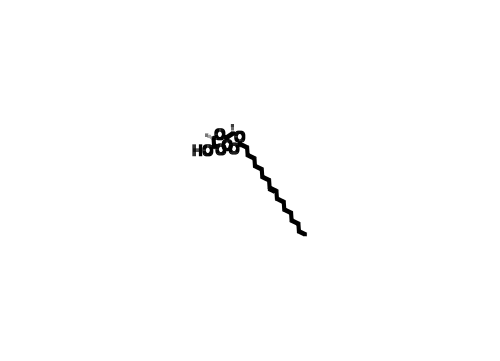 CCCCCCCCC=CCCCCCCCC(=O)O[C@@H](C)C(=O)O[C@@H](C)C(=O)O